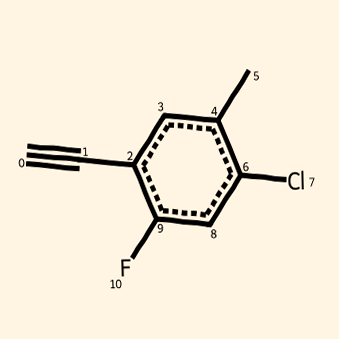 C#Cc1cc(C)c(Cl)cc1F